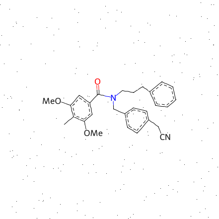 COc1cc(C(=O)N(CCCc2ccccc2)Cc2ccc(CC#N)cc2)cc(OC)c1C